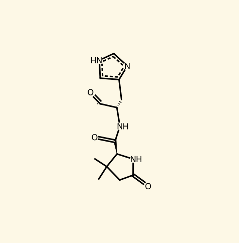 CC1(C)CC(=O)N[C@@H]1C(=O)N[C@H]([C]=O)Cc1c[nH]cn1